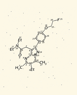 CCc1c(C)nc2c(CC(=O)N(CC)CC)c(-c3ccc(OCCF)cc3)nn2c1C